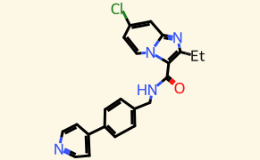 CCc1nc2cc(Cl)ccn2c1C(=O)NCc1ccc(-c2ccncc2)cc1